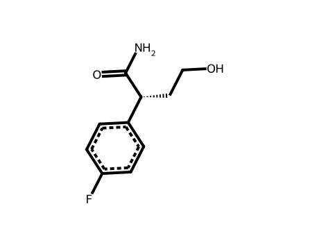 NC(=O)[C@H](CCO)c1ccc(F)cc1